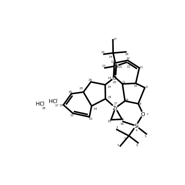 CC(C)(C)[Si](C)(C)OC1CC2C=CC=CC2[CH]1[Zr]1([CH]2C(O[Si](C)(C)C(C)(C)C)CC3C=CC=CC32)[CH2][CH2]1.Cl.Cl